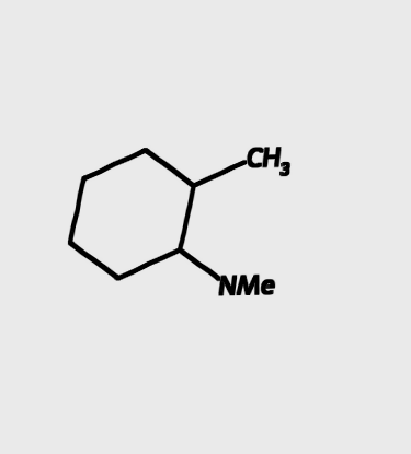 CNC1CCCCC1C